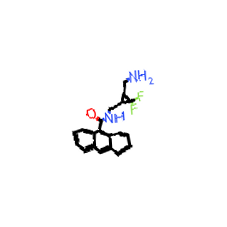 NCC1C(CNC(=O)c2c3ccccc3cc3ccccc23)C1(F)F